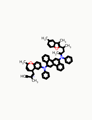 C#C/C(C)=C\C1C#CC(C)Oc2ccc(N(c3ccccc3)c3cc4c5ccccc5c(N(C(=C)CC(C)C5=C(C)C6C=C(C)C=CC6O5)c5ccccc5)cc4c4ccccc34)cc21